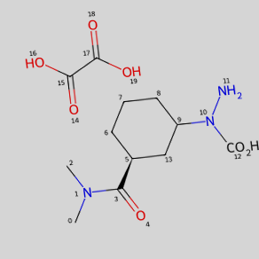 CN(C)C(=O)[C@H]1CCCC(N(N)C(=O)O)C1.O=C(O)C(=O)O